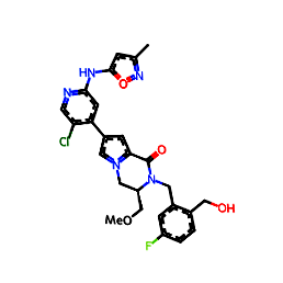 COC[C@H]1Cn2cc(-c3cc(Nc4cc(C)no4)ncc3Cl)cc2C(=O)N1Cc1cc(F)ccc1CO